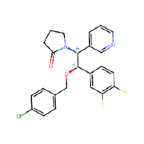 O=C1CCCN1[C@@H](c1cccnc1)[C@H](OCc1ccc(Cl)cc1)c1ccc(F)c(F)c1